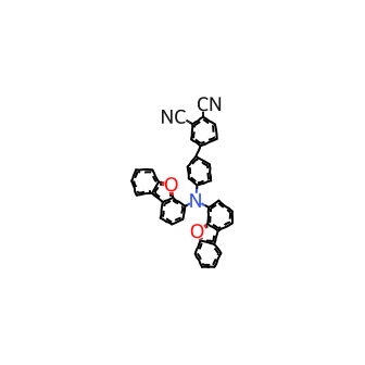 N#Cc1ccc(-c2ccc(N(c3cccc4c3oc3ccccc34)c3cccc4c3oc3ccccc34)cc2)cc1C#N